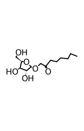 CCCCCCC(=O)CO[C@H]1O[C@H](CO)[C@H](O)[C@H]1O